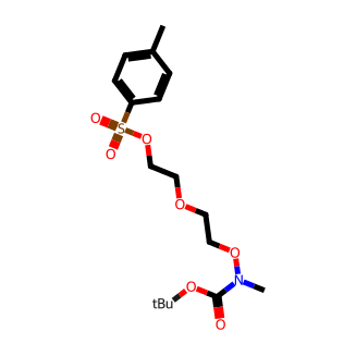 Cc1ccc(S(=O)(=O)OCCOCCON(C)C(=O)OC(C)(C)C)cc1